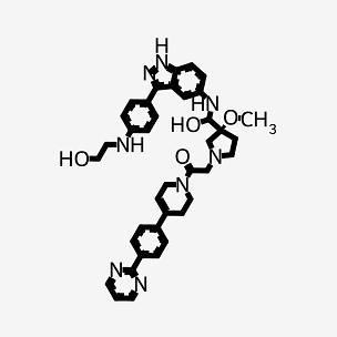 CO[C@@]1(C(O)Nc2ccc3[nH]nc(-c4ccc(NCCO)cc4)c3c2)CCN(CC(=O)N2CC=C(c3ccc(-c4ncccn4)cc3)CC2)C1